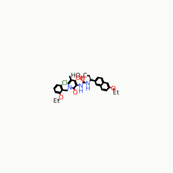 CCOc1ccc2cc([C@H](CC(=O)O)NC(=O)Nc3c(O)c(C)cn(Cc4c(Cl)cccc4OCC)c3=O)ccc2c1